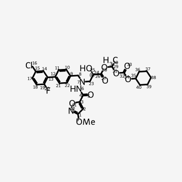 COc1cc(C(=O)NN(Cc2ccc(-c3cc(Cl)ccc3F)cc2)C[C@@H](O)C(=O)OC(C)OC(=O)OC2CCCCC2)on1